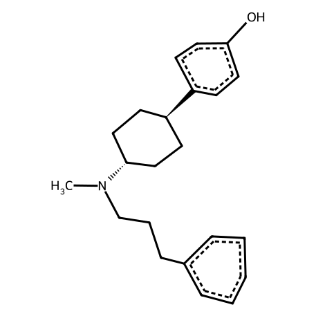 CN(CCCc1ccccc1)[C@H]1CC[C@H](c2ccc(O)cc2)CC1